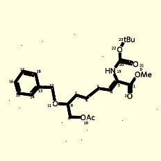 COC(=O)/C(=C/CCCC(COC(C)=O)OCc1ccccc1)NC(=O)OC(C)(C)C